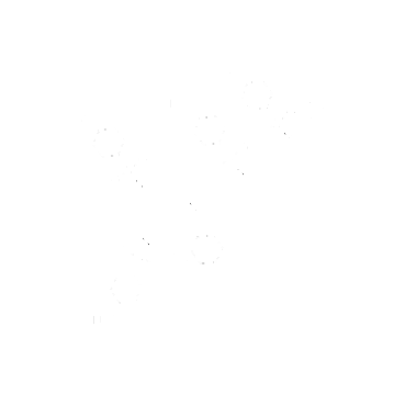 Cc1ccc(S(=O)(=O)N(CCCN(CCCN(CCCN(CC2CC2)S(=O)(=O)c2ccc(C)cc2)S(=O)(=O)c2ccc(C)cc2)Cc2ccccc2)CCCN(CC2CC2)S(=O)(=O)c2ccc(C)cc2)cc1